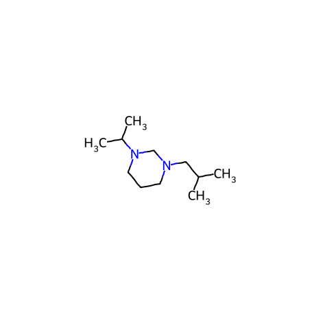 CC(C)CN1CCCN(C(C)C)C1